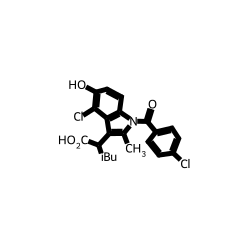 CCC(C)C(C(=O)O)c1c(C)n(C(=O)c2ccc(Cl)cc2)c2ccc(O)c(Cl)c12